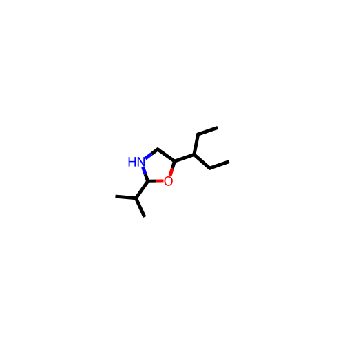 CCC(CC)C1CNC(C(C)C)O1